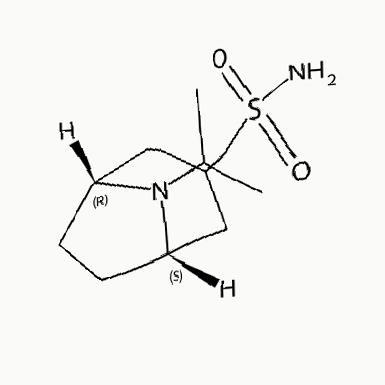 CC(C)N1[C@@H]2CC[C@H]1CC(S(N)(=O)=O)C2